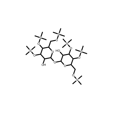 C[Si](C)(C)OCC1OC(OC2OC(CO[Si](C)(C)C)C(O[Si](C)(C)C)C(O[Si](C)(C)C)C2O)C(O)C(O[Si](C)(C)C)C1O[Si](C)(C)C